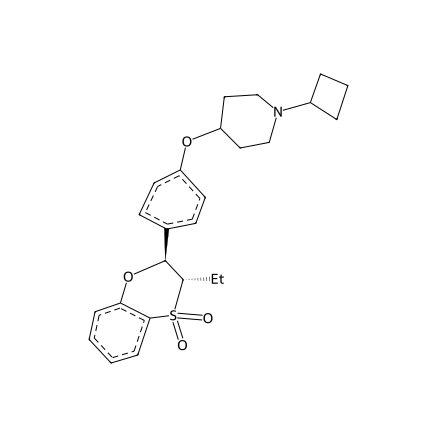 CC[C@H]1[C@H](c2ccc(OC3CCN(C4CCC4)CC3)cc2)Oc2ccccc2S1(=O)=O